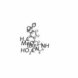 COC(CC1(C(C)(C)C)CNCCN1C(=O)O)c1ccc2c(c1C)COC2=O